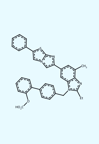 CCc1nc2c(C)cc(-c3cn4cc(-c5ccccc5)sc4n3)cc2n1Cc1ccc(-c2ccccc2OC(=O)O)cc1